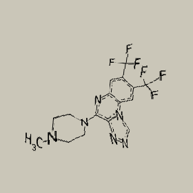 CN1CCN(c2nc3cc(C(F)(F)F)c(C(F)(F)F)cc3n3cnnc23)CC1